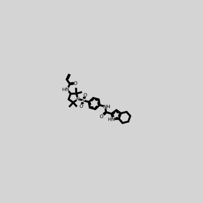 C=CC(=O)NC1CC(C)(C)N(S(=O)(=O)c2ccc(NC(=O)c3cc4c([nH]3)CCCC4)cc2)C1(C)C